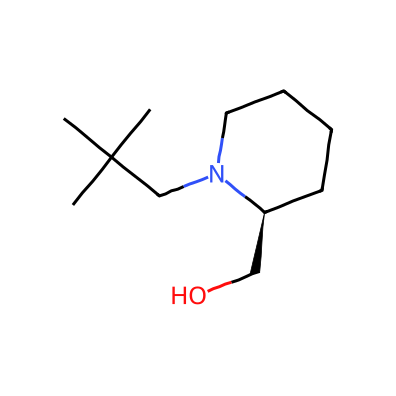 CC(C)(C)CN1CCCC[C@H]1CO